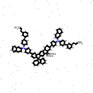 C=CCc1cccc(-c2ccc(N(c3ccc(-c4ccc5c(c4)-c4cc6c(cc4C5(c4ccccc4)c4ccccc4)C(CCCCCC)(CCCCCC)c4cc(-c5ccc(N(c7ccc(-c8cccc(CC=C)c8)cc7)c7ccc8ccccc8c7)cc5)ccc4-6)cc3)c3ccc4ccccc4c3)cc2)c1